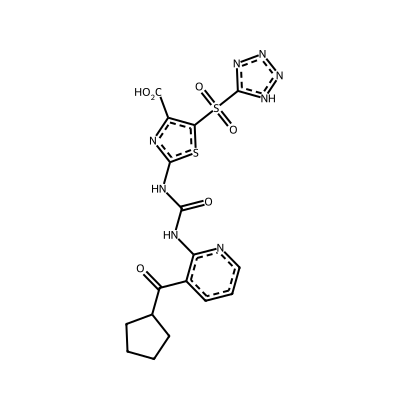 O=C(Nc1nc(C(=O)O)c(S(=O)(=O)c2nnn[nH]2)s1)Nc1ncccc1C(=O)C1CCCC1